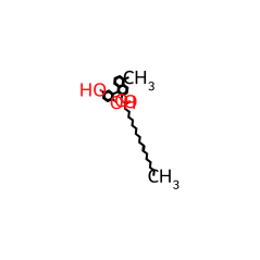 CCCCCCC=CCCCCCCCCCC(=O)Oc1ccc2c(C)cccc2c1-c1cc(O)ccc1O